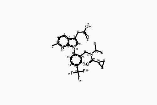 Cc1ccc2c(CC(=O)O)cn(-c3ccc(C(F)(F)F)cc3CN(C(=O)C3CC3)C(C)C)c2n1